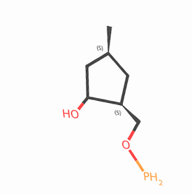 C[C@@H]1CC(O)[C@H](COP)C1